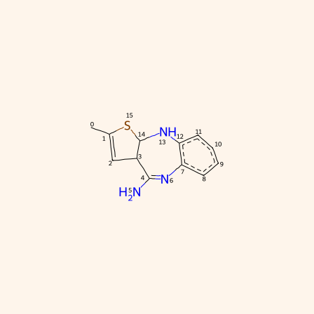 CC1=CC2C(N)=Nc3ccccc3NC2S1